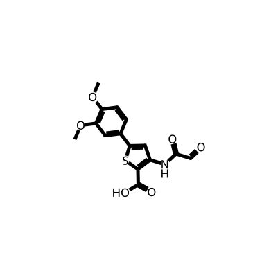 COc1ccc(-c2cc(NC(=O)C=O)c(C(=O)O)s2)cc1OC